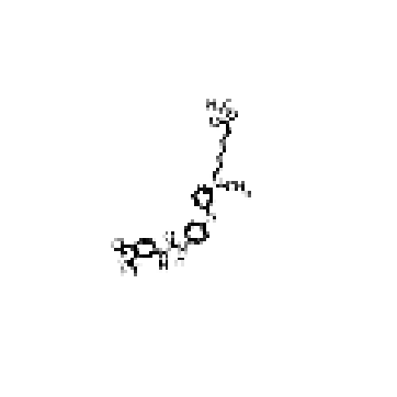 COC(=O)CCCCCCN(C)c1cc(Oc2ccc(NC(=O)Nc3ccc(Cl)c(C(F)(F)F)c3)cc2)ccn1